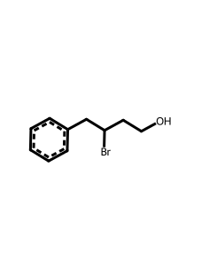 OCCC(Br)Cc1ccccc1